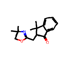 CC1(C)COC(CC2C(=O)c3ccccc3C2(C)C)=N1